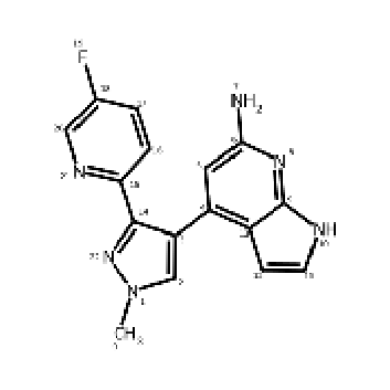 Cn1cc(-c2cc(N)nc3[nH]ccc23)c(-c2ccc(F)cn2)n1